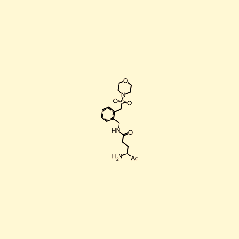 CC(=O)[C@@H](N)CCC(=O)NCc1ccccc1CS(=O)(=O)N1CCOCC1